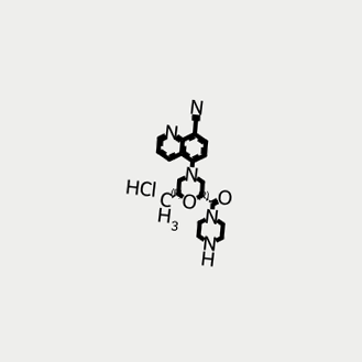 C[C@@H]1CN(c2ccc(C#N)c3ncccc23)C[C@H](C(=O)N2CCNCC2)O1.Cl